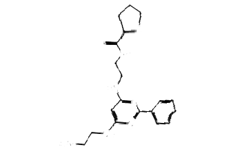 CC(=O)NCCNc1cc(NCCNC(=O)C2CCCO2)nc(-c2ccccc2)n1